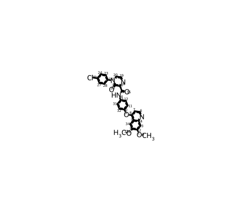 COc1cc2nccc(Oc3ccc(NC(=O)c4nccn(-c5ccc(Cl)cc5)c4=O)cc3)c2cc1OC